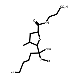 CCCCC(CCCCC(C)C)(OCC)C1SC(C(=O)NCCC(=O)O)CC1C